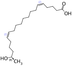 C[C@@H](O)CCC/C=C\CCCCCCC/C=C\CCCC(=O)O